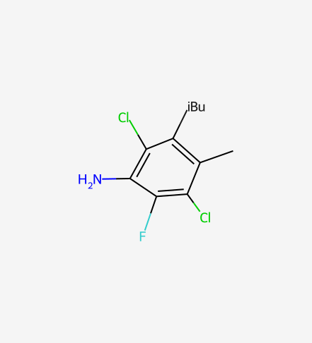 CCC(C)c1c(C)c(Cl)c(F)c(N)c1Cl